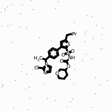 CC(C)Cc1cc(-c2ccc(C(C)n3ccnc3Cl)cc2)c(S(=O)(=O)NC(=O)OC2CCCOC2)s1